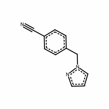 N#Cc1ccc(Cn2c[c]cn2)cc1